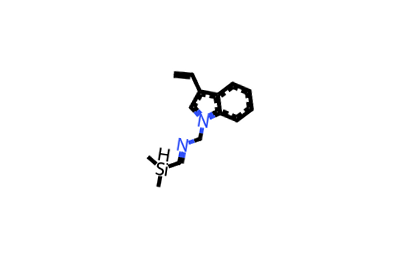 C=Cc1cn(C/N=C/[SiH](C)C)c2ccccc12